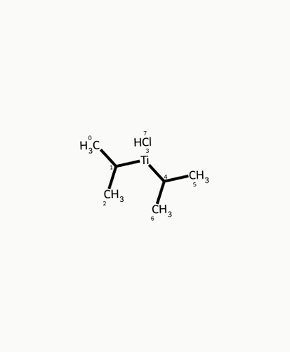 C[CH](C)[Ti][CH](C)C.Cl